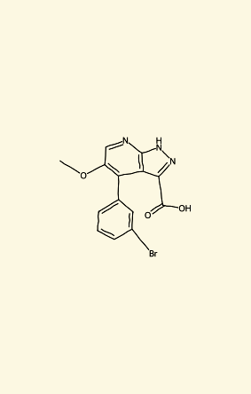 COc1cnc2[nH]nc(C(=O)O)c2c1-c1cccc(Br)c1